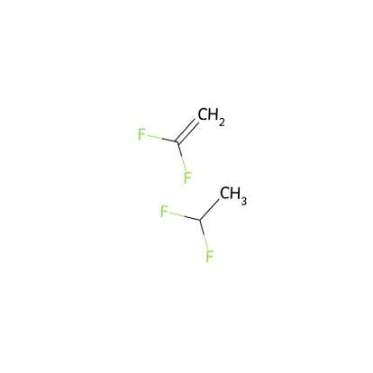 C=C(F)F.CC(F)F